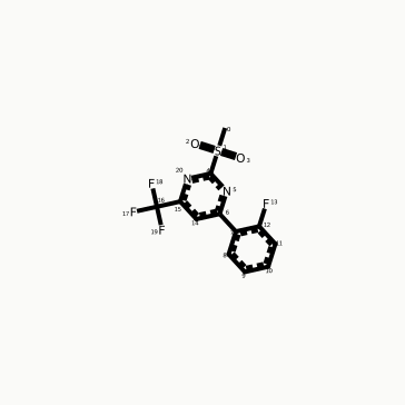 CS(=O)(=O)c1nc(-c2ccccc2F)cc(C(F)(F)F)n1